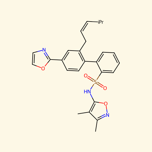 Cc1noc(NS(=O)(=O)c2ccccc2-c2ccc(-c3ncco3)cc2C/C=C\C(C)C)c1C